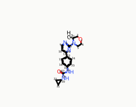 C[C@H]1COCCN1c1nccc(-c2ccc(NC(=O)NC3CC3)cc2)n1